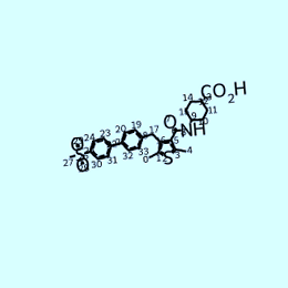 Cc1sc(C)c(C(=O)NC2CCC(C(=O)O)CC2)c1Cc1ccc(-c2ccc(S(C)(=O)=O)cc2)cc1